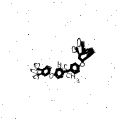 CC(C)(c1ccc(Oc2ccc3c(c2)C(=O)OC3)cc1)c1ccc(Oc2ccc3c(c2)C(=O)OC3=O)cc1